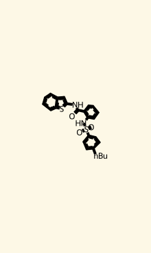 CCCCc1ccc(S(=O)(=O)Nc2ccccc2C(=O)Nc2cc3ccccc3s2)cc1